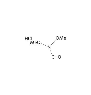 CON(C=O)OC.Cl